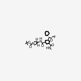 CNC(=O)c1cc(C(=O)N[C@@H]2[C@@H]3CN(C(=O)OC(C)(C)C)C[C@@H]32)cc2c1O[C@H](CF)[C@H]2c1ccccc1